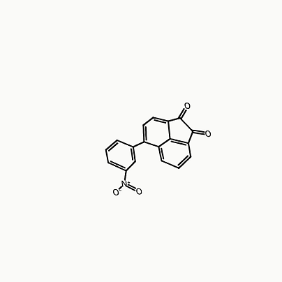 O=C1C(=O)c2ccc(-c3cccc([N+](=O)[O-])c3)c3cccc1c23